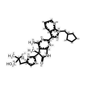 CC(C)(Cc1csc(C2(C)C(=O)Nc3nc(-c4nn(CC5CCCC5)c5ncccc45)nc(N)c32)n1)C(=O)O